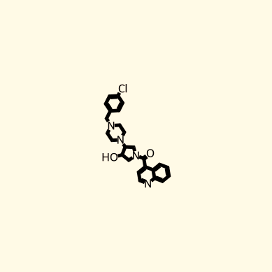 O=C(c1ccnc2ccccc12)N1CC(O)C(N2CCN(Cc3ccc(Cl)cc3)CC2)C1